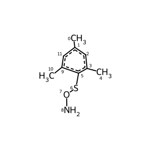 Cc1cc(C)c(SON)c(C)c1